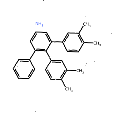 Cc1ccc(-c2cccc(-c3ccccc3)c2-c2ccc(C)c(C)c2)cc1C.N